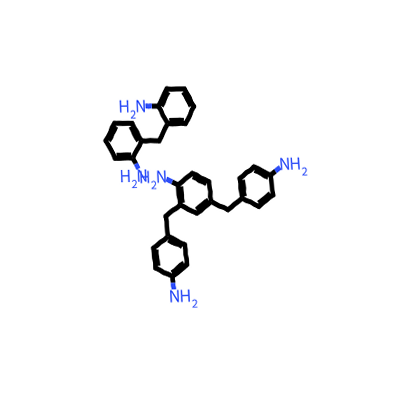 Nc1ccc(Cc2ccc(N)c(Cc3ccc(N)cc3)c2)cc1.Nc1ccccc1Cc1ccccc1N